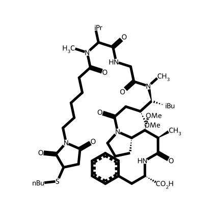 CCCCSC1CC(=O)N(CCCCCC(=O)N(C)C(C(=O)NCC(=O)N(C)[C@@H]([C@@H](C)CC)[C@@H](CC(=O)N2CCC[C@H]2[C@H](OC)[C@@H](C)C(=O)N[C@@H](Cc2ccccc2)C(=O)O)OC)C(C)C)C1=O